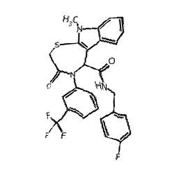 Cn1c2c(c3ccccc31)C(C(=O)NCc1ccc(F)cc1)N(c1cccc(C(F)(F)F)c1)C(=O)CS2